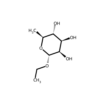 CCO[C@@H]1O[C@@H](C)[C@H](O)[C@@H](O)[C@H]1O